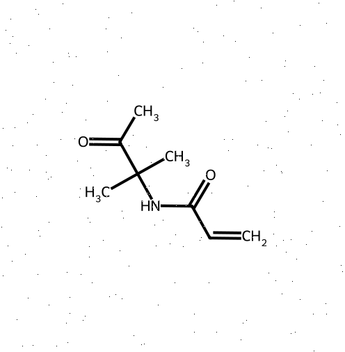 C=CC(=O)NC(C)(C)C(C)=O